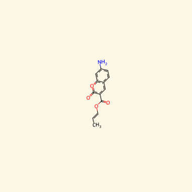 CC=COC(=O)c1cc2ccc(N)cc2oc1=O